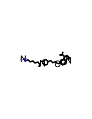 C=C(C)c1ccnc2ccc(OCCCC3CCN(C(=C)CCCCC/C=N/C)CC3)cc12